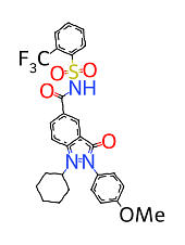 COc1ccc(-n2c(=O)c3cc(C(=O)NS(=O)(=O)c4ccccc4C(F)(F)F)ccc3n2C2CCCCC2)cc1